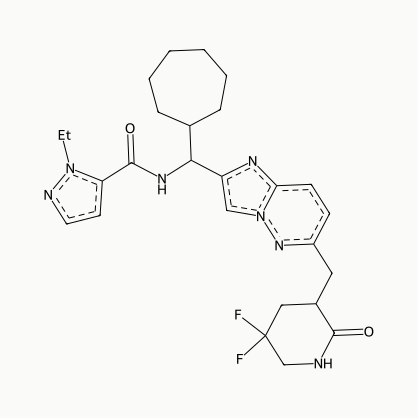 CCn1nccc1C(=O)NC(c1cn2nc(CC3CC(F)(F)CNC3=O)ccc2n1)C1CCCCCC1